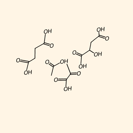 CC(=O)C(=O)O.CC(=O)O.O=C(O)CC(O)C(=O)O.O=C(O)CCC(=O)O